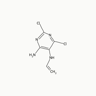 C=CNc1c(N)nc(Cl)nc1Cl